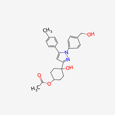 CC(=O)OC1CCC(O)(c2cc(-c3ccc(C)cc3)n(-c3ccc(CO)cc3)n2)CC1